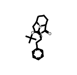 CC(C)(C)OC(=O)N1C2CCCC1C(=O)N(CCc1ccccc1)CC2